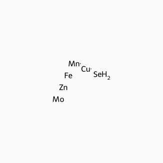 [Cu].[Fe].[Mn].[Mo].[SeH2].[Zn]